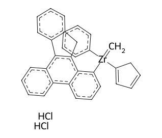 Cl.Cl.[CH2]=[Zr]([C]1=CC=CC1)([c]1ccccc1)[c]1cccc2c1c1c(c3ccccc32)-c2ccccc2C1